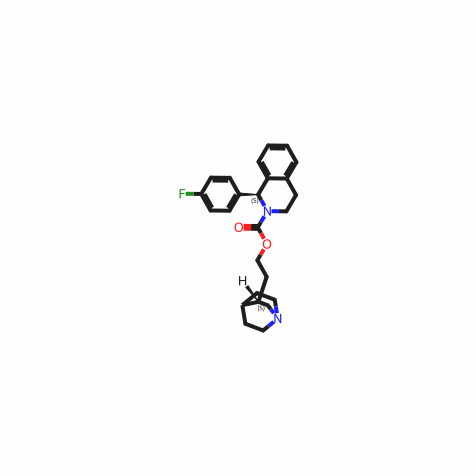 O=C(OCC[C@@H]1CN2CCC1CC2)N1CCc2ccccc2[C@@H]1c1ccc(F)cc1